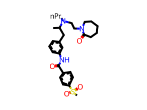 CCCN(CCN1CCCCCC1=O)C(C)Cc1cccc(NC(=O)c2ccc(S(C)(=O)=O)cc2)c1